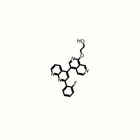 OCCOc1ncc(-c2cc(-c3ccccc3F)nc3ncccc23)c2ccncc12